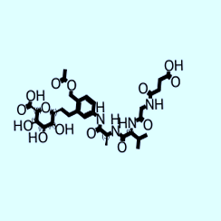 CC(=O)OCc1ccc(NC(=O)[C@H](C)NC(=O)[C@@H](NC(=O)CNC(=O)CCC(=O)O)C(C)C)cc1CC[C@@H]1O[C@H](C(=O)O)[C@@H](O)[C@H](O)[C@H]1O